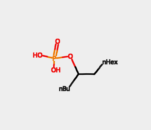 CCCCCCCC(CCCC)OP(=O)(O)O